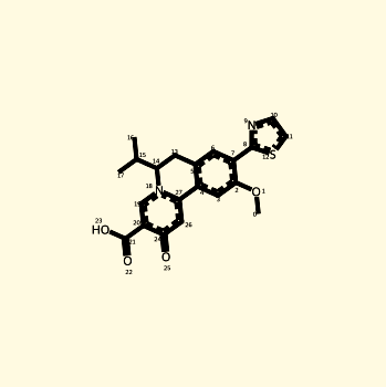 COc1cc2c(cc1-c1nccs1)CC(C(C)C)n1cc(C(=O)O)c(=O)cc1-2